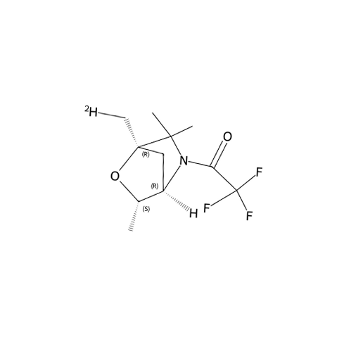 [2H]C[C@]12C[C@H]([C@H](C)O1)N(C(=O)C(F)(F)F)C2(C)C